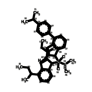 CCC(C)C1=Cc2c(C(C)CC)cccc2[CH]1[Zr]([Cl])([Cl])([CH]1C(C)=Cc2c(-c3ccc(C(C)C)cc3)cccc21)[SiH](C)C